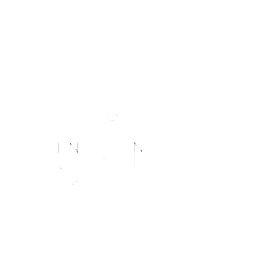 Cc1cc(C)cc(NC(=O)[C@@H]2CSC(C)(C)N2)c1